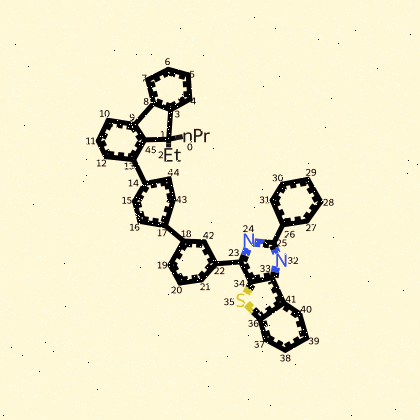 CCCC1(CC)c2ccccc2-c2cccc(-c3ccc(-c4cccc(-c5nc(-c6ccccc6)nc6c5sc5ccccc56)c4)cc3)c21